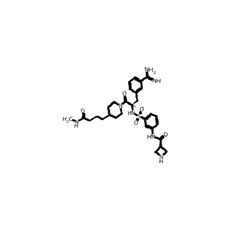 CNC(=O)CCCC1CCN(C(=O)[C@@H](Cc2cccc(C(=N)N)c2)NS(=O)(=O)c2cccc(NC(=O)C3CNC3)c2)CC1